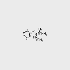 CN[C@H](Cc1ccccc1)C(N)=O